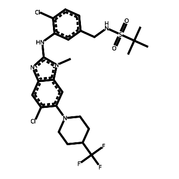 Cn1c(Nc2cc(CNS(=O)(=O)C(C)(C)C)ccc2Cl)nc2cc(Cl)c(N3CCC(C(F)(F)F)CC3)cc21